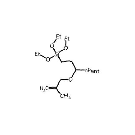 C=C(C)COC(CCCCC)CC[Si](OCC)(OCC)OCC